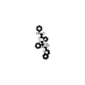 C[C@](NC(=O)c1ccc2ccccc2n1)(C(=O)N1CCCC1C(=O)C(=O)NC1CCCCC1)C1CCCCC1